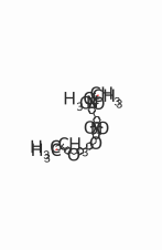 CCC(C)(CC)c1ccc(Oc2ccc(-c3ccc(Oc4ccc(N5C(=O)c6ccc(-c7ccc8c(c7)C(=O)N(C(C)(CC)CC)C8=O)cc6C5=O)cc4)cc3)cc2)cc1